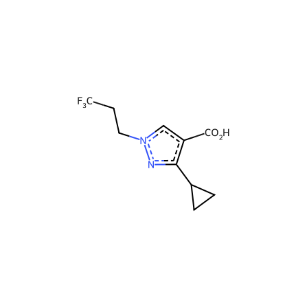 O=C(O)c1cn(CCC(F)(F)F)nc1C1CC1